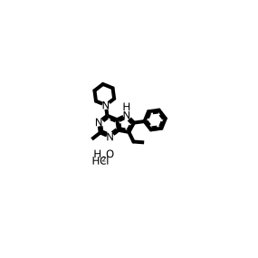 CCc1c(-c2ccccc2)[nH]c2c(N3CCCCC3)nc(C)nc12.Cl.O